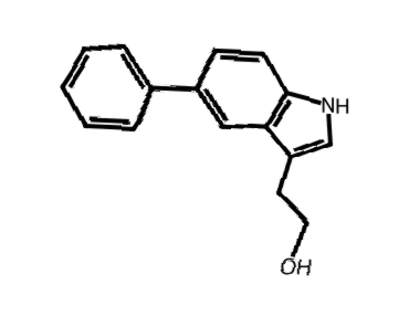 OCCc1c[nH]c2ccc(-c3ccccc3)cc12